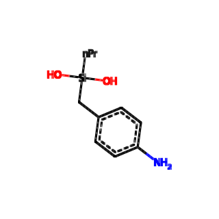 CCC[Si](O)(O)Cc1ccc(N)cc1